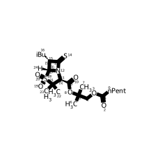 CCCCCC(=O)OCC(C)(C)OC(=O)[C@@H]1N2C(=S)[C@@H](C(C)CC)[C@H]2S(=O)(=O)C1(C)C